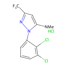 CNc1cc(C(F)(F)F)nn1-c1cccc(Cl)c1Cl.Cl